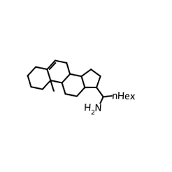 CCCCCCC(N)C1CCC2C1CCC1C2CC=C2CCCCC21C